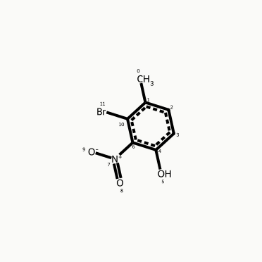 Cc1ccc(O)c([N+](=O)[O-])c1Br